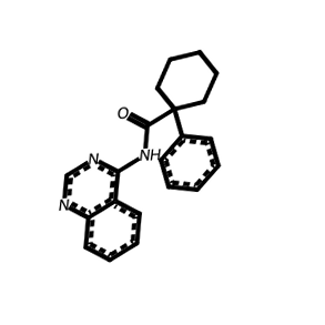 O=C(Nc1ncnc2ccccc12)C1(c2ccccc2)CCCCC1